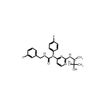 C[C@H](Nc1nccc(N(C(=O)NCc2cccc(F)c2)c2ccc(F)cc2)n1)C(C)(C)O